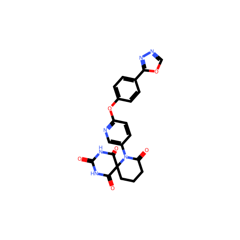 O=C1NC(=O)C2(CCCC(=O)N2c2ccc(Oc3ccc(-c4nnco4)cc3)nc2)C(=O)N1